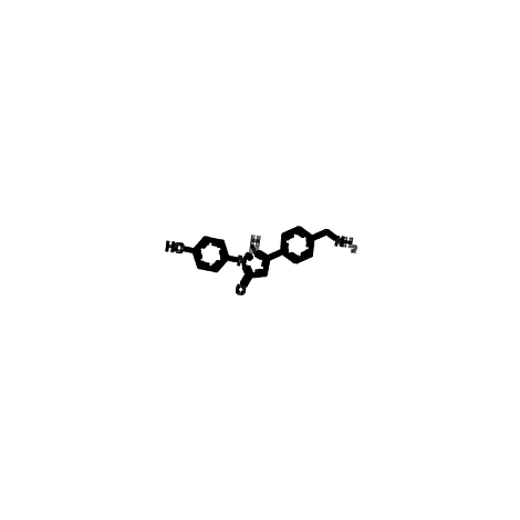 NCc1ccc(-c2cc(=O)n(-c3ccc(O)cc3)[nH]2)cc1